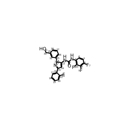 O=C(Nc1ccc(F)c(F)c1F)Nc1cc(-c2ccccc2F)nn1-c1cccc(CO)c1